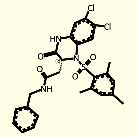 Cc1cc(C)c(S(=O)(=O)N2c3cc(Cl)c(Cl)cc3NC(=O)[C@H]2CC(=O)NCc2ccccc2)c(C)c1